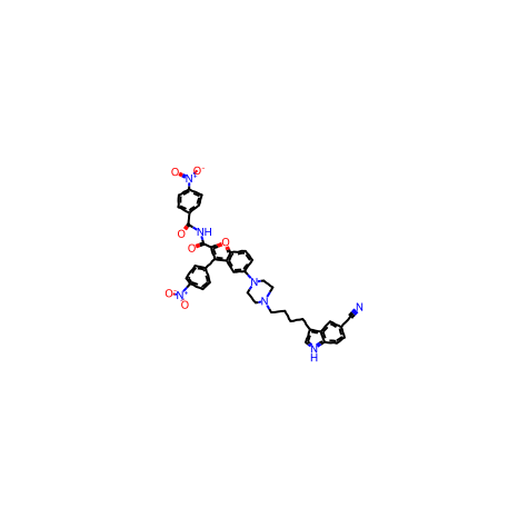 N#Cc1ccc2[nH]cc(CCCCN3CCN(c4ccc5oc(C(=O)NC(=O)c6ccc([N+](=O)[O-])cc6)c(-c6ccc([N+](=O)[O-])cc6)c5c4)CC3)c2c1